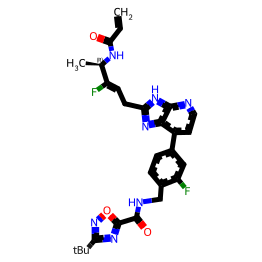 C=CC(=O)N[C@H](C)C(F)=CCc1nc2c(-c3ccc(CNC(=O)c4nc(C(C)(C)C)no4)c(F)c3)ccnc2[nH]1